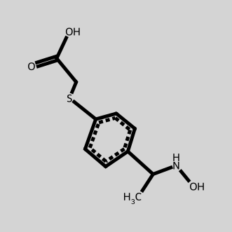 CC(NO)c1ccc(SCC(=O)O)cc1